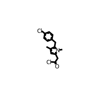 Cc1cc(CC(=O)Cl)n(C)c1Cc1ccc(Cl)cc1